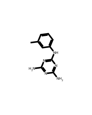 Cc1cccc(Nc2nc(N)nc(N)n2)c1